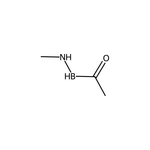 CNBC(C)=O